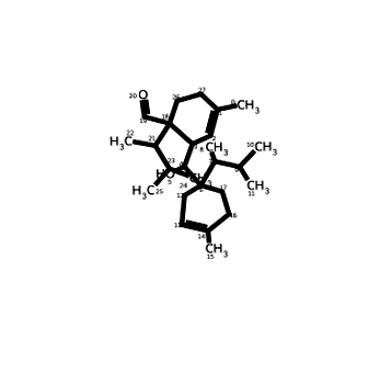 CC1=CC(C(O)C2(C(C)C(C)C)CC=C(C)CC2)C(C=O)(C(C)C(C)C)CC1